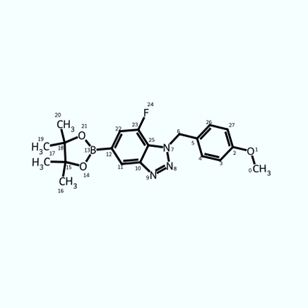 COc1ccc(Cn2nnc3cc(B4OC(C)(C)C(C)(C)O4)cc(F)c32)cc1